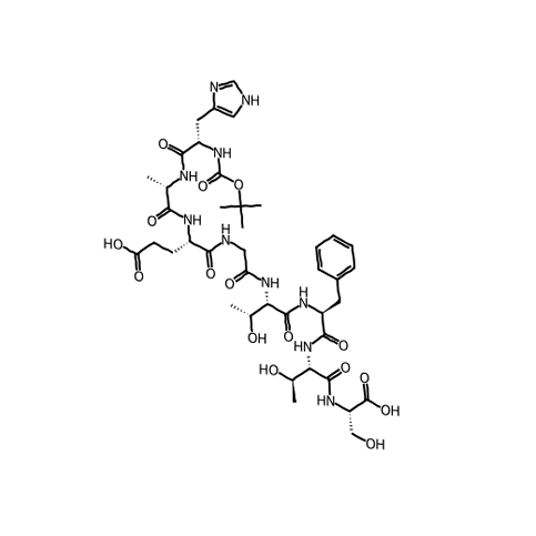 C[C@H](NC(=O)[C@H](Cc1c[nH]cn1)NC(=O)OC(C)(C)C)C(=O)N[C@@H](CCC(=O)O)C(=O)NCC(=O)N[C@H](C(=O)N[C@@H](Cc1ccccc1)C(=O)N[C@H](C(=O)N[C@@H](CO)C(=O)O)[C@@H](C)O)[C@@H](C)O